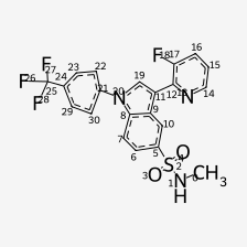 CNS(=O)(=O)c1ccc2c(c1)c(-c1ncccc1F)cn2-c1ccc(C(F)(F)F)cc1